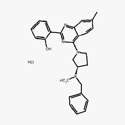 Cc1ccc2c(N3CC[C@@H](N(Cc4ccccc4)C(=O)O)C3)nc(-c3ccccc3O)nc2c1.Cl